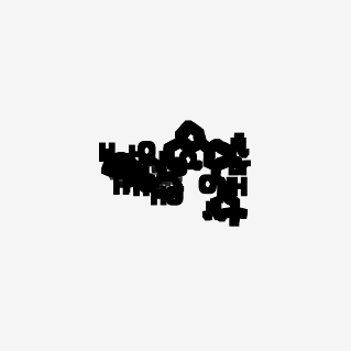 COc1c(CN2O[C@@H](CO)[C@@H]([C@H](C)O)[C@H]2C(=O)N[C@H]2C[C@H]3C[C@@H]([C@@H]2C)C3(C)C)cccc1-c1cc(C(=O)N[C@H](CN(C)C)CC(C)(C)C)c(Br)c(N(C)C)c1